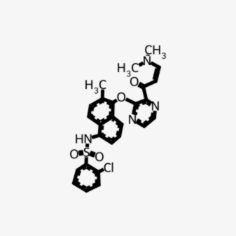 Cc1ccc2c(NS(=O)(=O)c3ccccc3Cl)cccc2c1Oc1nccnc1C(=O)/C=C\N(C)C